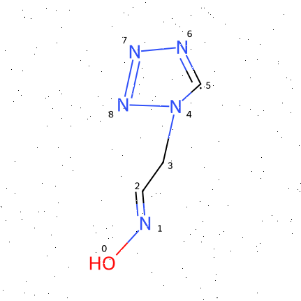 O/N=C/Cn1[c]nnn1